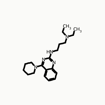 CCN(CC)CCCNc1nc(N2CCCCC2)c2ccccc2n1